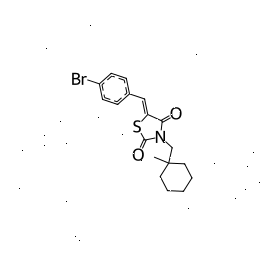 CC1(CN2C(=O)SC(=Cc3ccc(Br)cc3)C2=O)CCCCC1